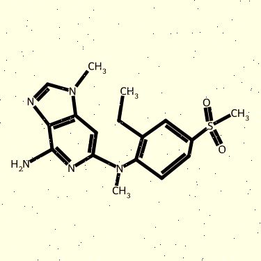 CCc1cc(S(C)(=O)=O)ccc1N(C)c1cc2c(ncn2C)c(N)n1